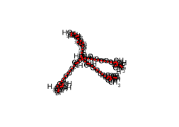 C[C@@H]1O[C@H](COCCOCCOCCOCCNC(=O)CCOCC(COCCC(=O)NCCOCCOCCOCCOC[C@H]2O[C@@H](C)[C@H](NC(=O)C(F)(F)F)[C@@H](O)[C@H]2O)(COCCC(=O)NCCOCCOCCOCCOC[C@H]2O[C@@H](C)[C@H](NC(=O)C(F)(F)F)[C@@H](O)[C@H]2O)NC(=O)CCCOc2ccc3nc(-c4cn(-c5ccc(O)c(F)c5)nn4)ccc3c2)[C@H](O)[C@H](O)[C@H]1NC(=O)C(F)(F)F